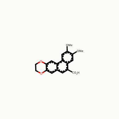 COc1cc2c(C(=O)O)cc3cc4c(cc3c2cc1OC)OCCO4